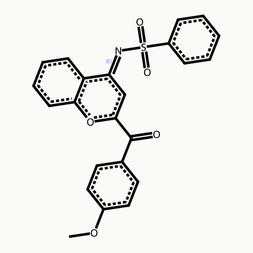 COc1ccc(C(=O)c2c/c(=N\S(=O)(=O)c3ccccc3)c3ccccc3o2)cc1